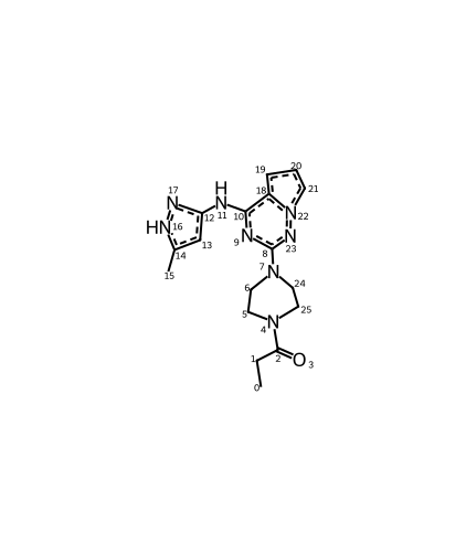 CCC(=O)N1CCN(c2nc(Nc3cc(C)[nH]n3)c3cccn3n2)CC1